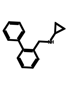 [c]1cccc(-c2ccccc2)c1CNC1CC1